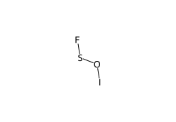 FSOI